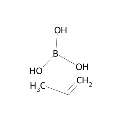 C=CC.OB(O)O